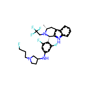 C[C@@H]1Cc2c([nH]c3ccccc23)[C@H](c2c(F)cc(NC3CCN(CCCF)C3)cc2F)N1CC(F)(F)F